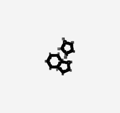 c1ccc2occc2c1.c1cocn1